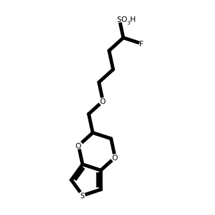 O=S(=O)(O)C(F)CCCOCC1COc2cscc2O1